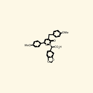 COc1ccc(Cc2cc(-c3ccc(OC)cc3)nn(C(C(=O)O)c3ccc4c(c3)OCO4)c2=O)cc1